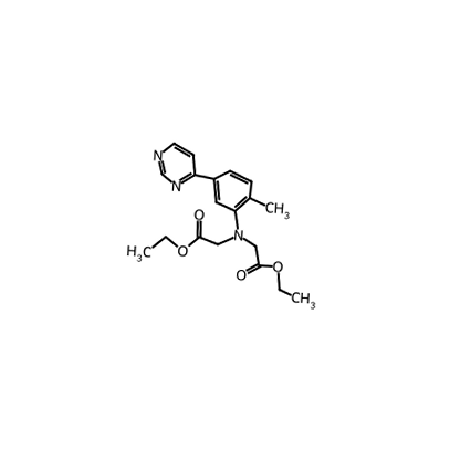 CCOC(=O)CN(CC(=O)OCC)c1cc(-c2ccncn2)ccc1C